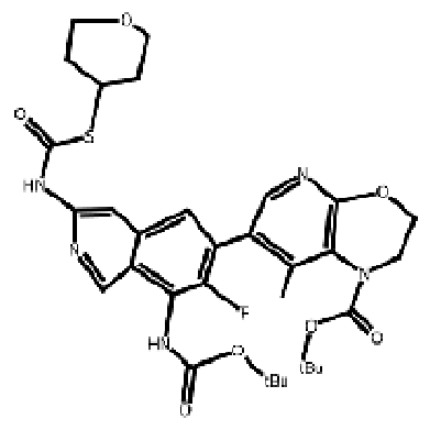 Cc1c(-c2cc3cc(NC(=O)SC4CCOCC4)ncc3c(NC(=O)OC(C)(C)C)c2F)cnc2c1N(C(=O)OC(C)(C)C)CCO2